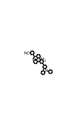 C/C=C(/c1cccc(C#N)c1)c1ccccc1-c1ccccc1-c1cc(-c2ccc3c(c2)c2ccccc2n3-c2ccccc2)ccc1N